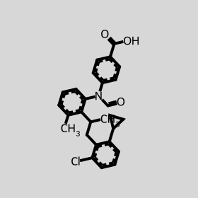 Cc1cccc(N(C=O)c2ccc(C(=O)O)cc2)c1C(C)Cc1c(Cl)cccc1C1CC1